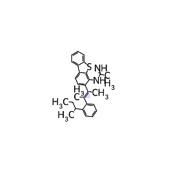 CCC(C)c1ccccc1/C(C)=C(\C)c1ccc2c(sc3ccccc32)c1NC(C)=N